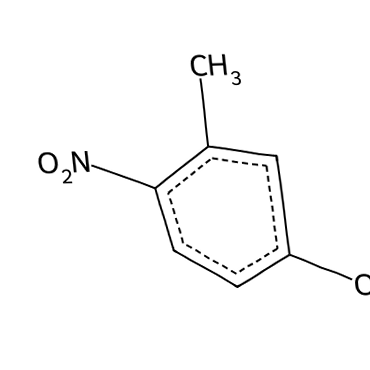 Cc1cc([O])ccc1[N+](=O)[O-]